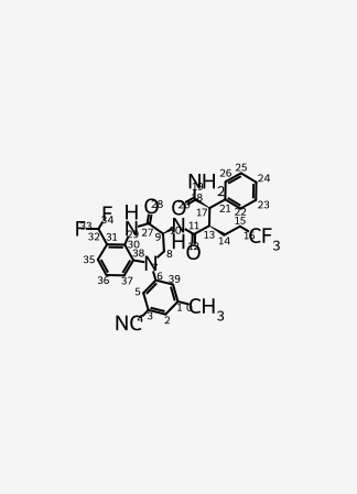 Cc1cc(C#N)cc(N2C[C@H](NC(=O)[C@H](CCC(F)(F)F)[C@@H](C(N)=O)c3ccccc3)C(=O)Nc3c(C(F)F)cccc32)c1